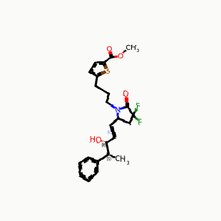 COC(=O)c1ccc(CCCN2C(=O)C(F)(F)CC2/C=C/[C@@H](O)[C@@H](C)c2ccccc2)s1